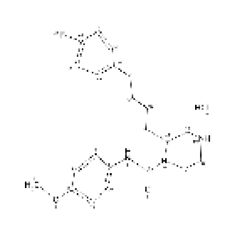 COc1ccc(NC(=O)N2CCNCC2CCCCc2ccc(F)cc2)cc1.Cl